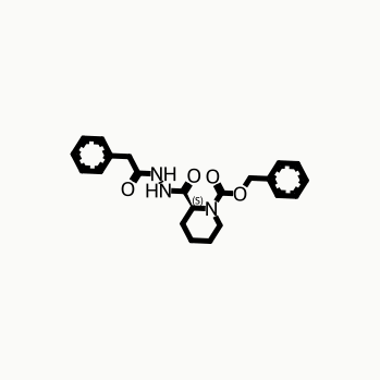 O=C(Cc1ccccc1)NNC(=O)[C@@H]1CCCCN1C(=O)OCc1ccccc1